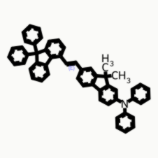 CC1(C)c2cc(/C=C/c3cccc4c3-c3ccccc3C4(c3ccccc3)c3ccccc3)ccc2-c2ccc(N(c3ccccc3)c3ccccc3)cc21